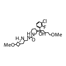 COCCCC[C@@](O)(c1cccc(Cl)c1F)[C@@H]1CCCN(C(=O)NCC(N)CC2CC(OC)C2)C1